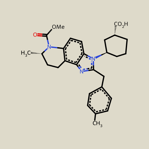 COC(=O)N1c2ccc3c(nc(Cc4ccc(C)cc4)n3[C@@H]3CCC[C@@H](C(=O)O)C3)c2CC[C@@H]1C